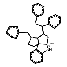 c1ccc(CN2CCC34c5ccccc5N[C@@H]3NC(C(Sc3ccccc3)c3ccccc3)C24)cc1